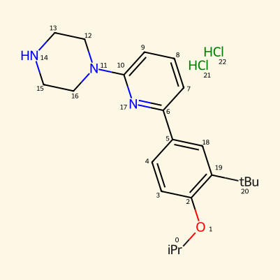 CC(C)Oc1ccc(-c2cccc(N3CCNCC3)n2)cc1C(C)(C)C.Cl.Cl